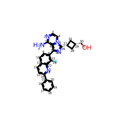 Nc1nccn2c1c(-c1ccc3ccc(-c4ccccc4)nc3c1F)nc2[C@H]1C[C@@H](CO)C1